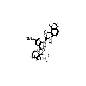 CC(C)(C)c1cc(C(=O)N2CCNC(=O)C2(C)C)c(NC(=O)Nc2ccc3c(c2Cl)OCO3)s1